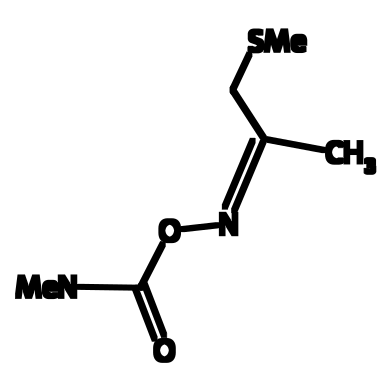 CNC(=O)ON=C(C)CSC